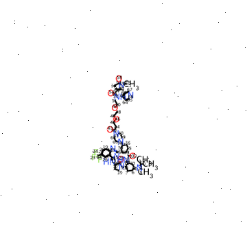 CC(C)N(C)[C@@H]1CC[C@H](N2CC[C@H](Nc3ncnc4ccc(C(F)(F)F)cc34)C2=O)[C@H](NC(=O)[C@H]2CC[C@H](N3CCN(C(=O)CCOCCOCCNC(=O)[C@H]4CC(=O)N(C)[C@@H]4c4cccnc4)CC3)CC2)C1